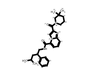 CC(C)CC(CNC(=O)c1cccc2nc(C(=O)N3CCCC(C)(C)C3)cn12)c1ccccc1